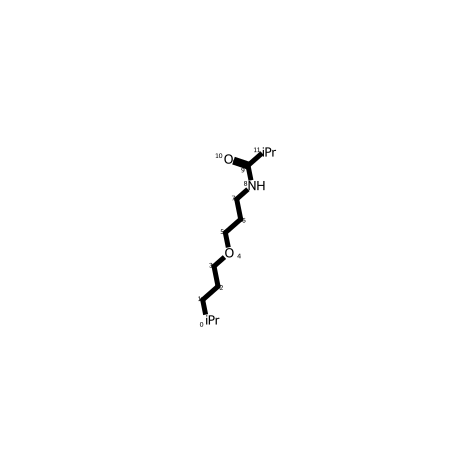 CC(C)CCCOCCCNC(=O)C(C)C